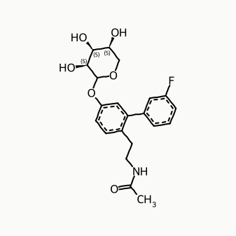 CC(=O)NCCc1ccc(OC2OC[C@H](O)[C@H](O)[C@@H]2O)cc1-c1cccc(F)c1